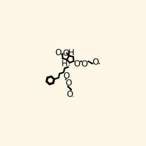 COCCOCOC(CCc1ccccc1)CC[C@@H]1[C@H]2CC(=O)O[C@H]2C[C@H]1OCOCCOC